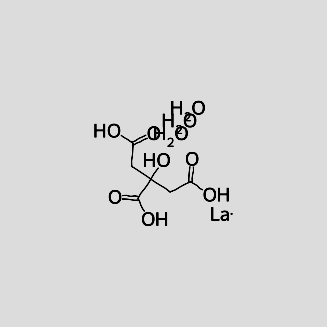 O.O.O.O=C(O)CC(O)(CC(=O)O)C(=O)O.[La]